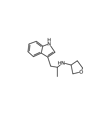 CC(Cc1c[nH]c2ccccc12)NC1CCOC1